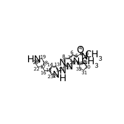 CN(C)C(=O)c1cc2cnc(Nc3ccc(CC4CCNCC4)cn3)nc2n1C1CCCC1